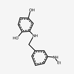 CCNc1cccc(CNc2cc(O)ccc2O)c1